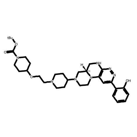 CC(C)(C)OC(=O)N1CCC(OCCN2CCC(N3CCN4c5cc(-c6ccccc6O)nnc5NC[C@H]4C3)CC2)CC1